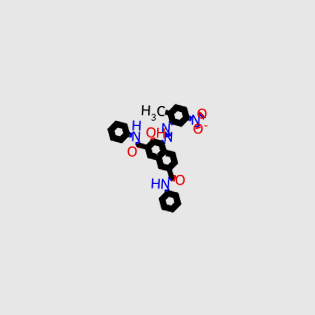 Cc1ccc([N+](=O)[O-])cc1/N=N/c1c(O)c(C(=O)Nc2ccccc2)cc2cc(C(=O)Nc3ccccc3)ccc12